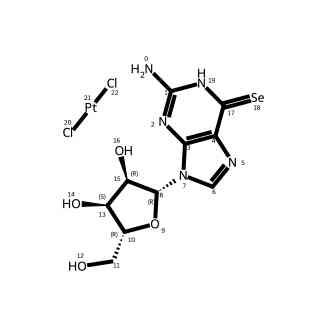 Nc1nc2c(ncn2[C@@H]2O[C@H](CO)[C@@H](O)[C@H]2O)c(=[Se])[nH]1.[Cl][Pt][Cl]